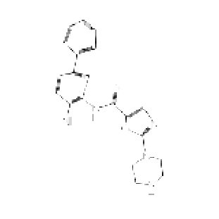 Nc1ccc(-c2ccccc2)cc1NC(=O)c1cnc(N2CCNCC2)o1